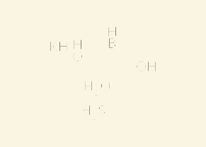 O.OBO.S.[KH]